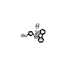 CC(C)(C)C1=C[CH]([Hf]([SiH3])([SiH3])[CH]2c3ccccc3-c3ccccc32)C=C1.[Cl-].[Cl-]